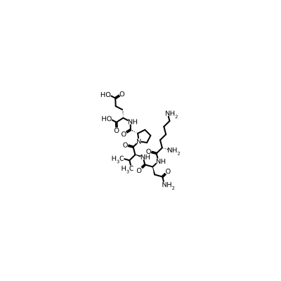 CC(C)[C@H](NC(=O)[C@H](CC(N)=O)NC(=O)[C@@H](N)CCCCN)C(=O)N1CCC[C@H]1C(=O)N[C@@H](CCC(=O)O)C(=O)O